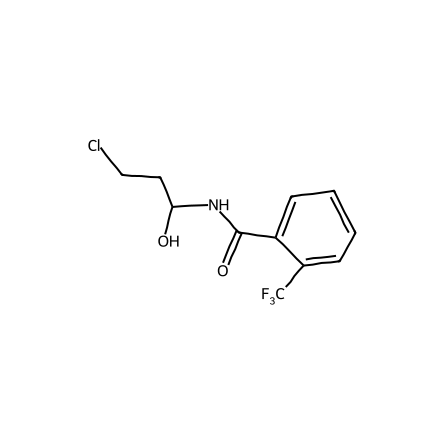 O=C(NC(O)CCCl)c1ccccc1C(F)(F)F